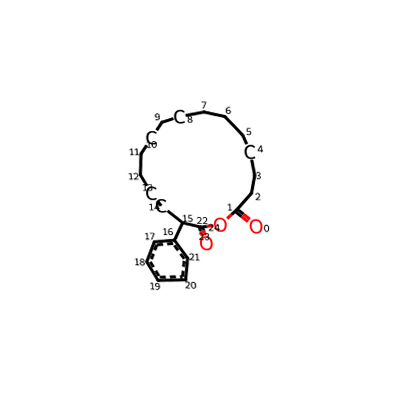 O=C1CCCCCCCCCCCCCC(c2ccccc2)C(=O)O1